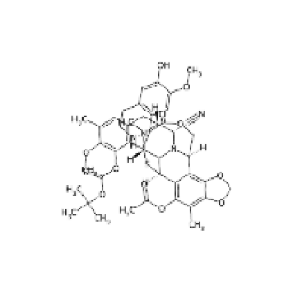 COc1cc2c(cc1O)CCN[C@]21CS[C@@H]2c3c(OC(C)=O)c(C)c4c(c3[C@H](COC1=O)N1C2[C@@H]2c3c(cc(C)c(OC)c3OC(=O)OC(C)(C)C)C[C@H]([C@@H]1C#N)N2C)OCO4